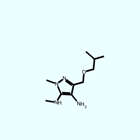 CNc1c(N)c(COCC(C)C)nn1C